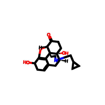 O=C1CC[C@@]2(O)[C@H]3CC4=CCC(O)C5=C4[C@@]2(CCN3CC2CC2)[C@H]1O5